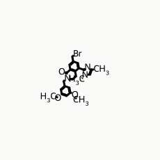 COc1cc(CN2CCc3c(cc(CBr)cc3-c3nc(C)cn3C)C2=O)cc(OC)c1